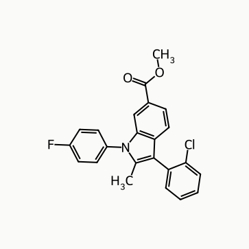 COC(=O)c1ccc2c(-c3ccccc3Cl)c(C)n(-c3ccc(F)cc3)c2c1